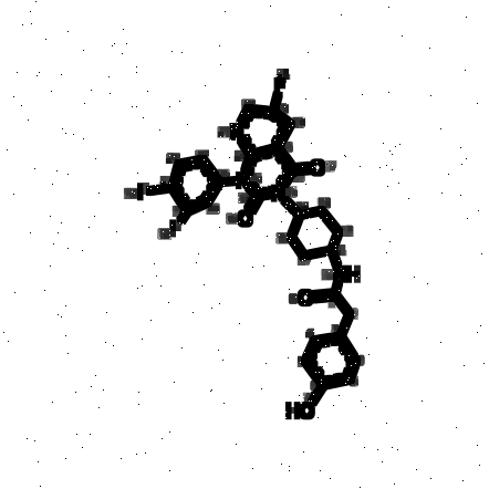 O=C(Cc1ccc(O)cc1)NC1CCC(n2c(=O)c3cc(F)cnc3n(-c3ccc(F)c(F)c3)c2=O)CC1